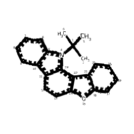 CC(C)(C)n1c2ccccc2c2ccc3oc4ccccc4c3c21